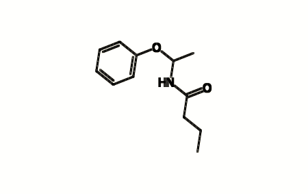 CCCC(=O)NC(C)Oc1ccccc1